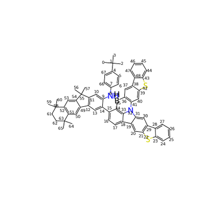 CC(C)(C)c1ccc(Nc2cc3c(cc2-c2ccc4c5cc6sc7ccccc7c6cc5n5c4c2Bc2cc4c(cc2-5)sc2ccccc24)-c2cc4c(cc2C3(C)C)C(C)(C)CCC4(C)C)cc1